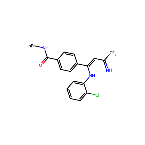 CCCNC(=O)c1ccc(/C(=C/C(=N)C(F)(F)F)Nc2ccccc2Cl)cc1